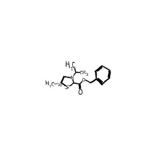 CC(C)N1C[C@@H](C)SC1C(=O)OCc1ccccc1